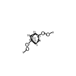 COOc1cc2c(OOC)cc1CC2